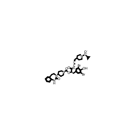 O=C(N=C=C=CC1CCN([S+]([O-])C2CC2)CC1)[C@@H](Cc1cc(Br)c(O)c(Br)c1)OC(=O)N1CCC(N2CCc3ccccc3NC2=O)CC1